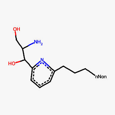 CCCCCCCCCCCCc1cccc(C(O)C(N)CO)n1